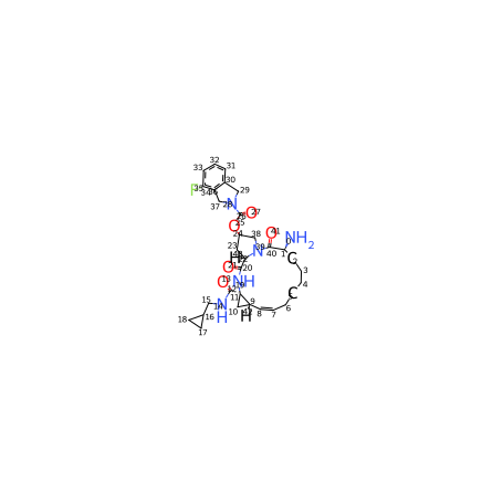 N[C@H]1CCCCC/C=C\[C@@H]2C[C@@]2(C(=O)NCC2CC2)NC(=O)[C@@H]2C[C@@H](OC(=O)N3Cc4cccc(F)c4C3)CN2C1=O